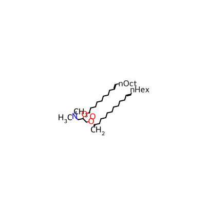 C=C(CCCCCCCCC/C=C/CCCCCC)OCC(CN(C)C)OC(=O)CCCCCCC/C=C/CCCCCCCC